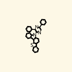 c1ccc(-c2cnc(-n3c4ccccc4c4c5sc6ccccc6c5ccc43)c(-c3ccccc3)n2)cc1